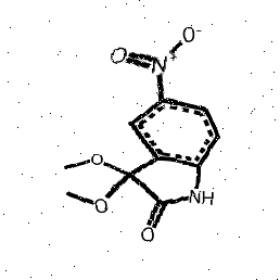 COC1(OC)C(=O)Nc2ccc([N+](=O)[O-])cc21